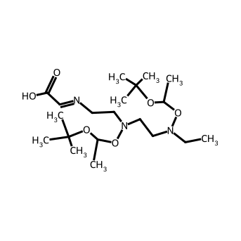 CCN(CCN(CCN=CC(=O)O)OC(C)OC(C)(C)C)OC(C)OC(C)(C)C